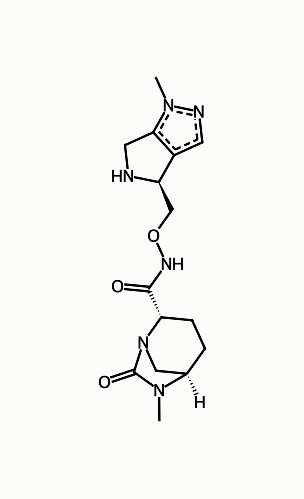 CN1C(=O)N2C[C@H]1CC[C@H]2C(=O)NOC[C@H]1NCc2c1cnn2C